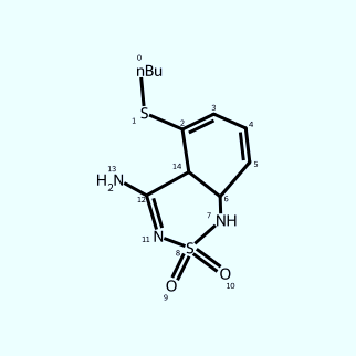 CCCCSC1=CC=CC2NS(=O)(=O)N=C(N)C12